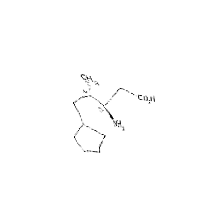 C[C@@H](CC1CCCC1)[C@H](N)CC(=O)O